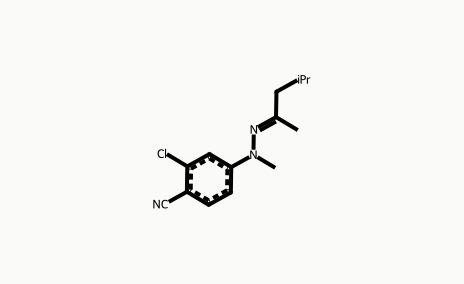 C/C(CC(C)C)=N\N(C)c1ccc(C#N)c(Cl)c1